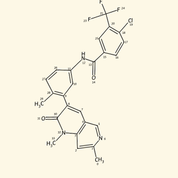 Cc1cc2c(cn1)cc(-c1cc(NC(=O)c3ccc(Cl)c(C(F)(F)F)c3)ccc1C)c(=O)n2C